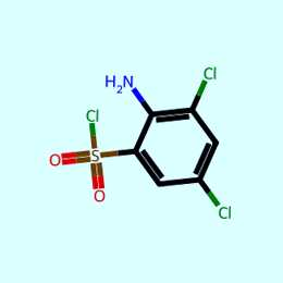 Nc1c(Cl)cc(Cl)cc1S(=O)(=O)Cl